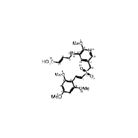 COc1cc(OC)c(C=CS(=O)(=O)Cc2cnc(OC)c(NCC=CC(=O)O)c2)c(OC)c1